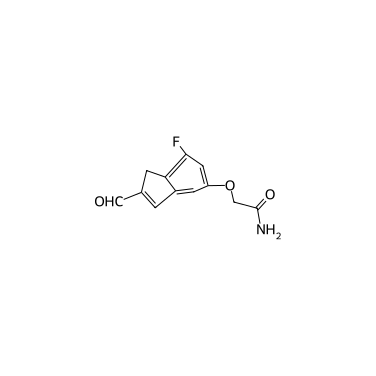 NC(=O)COc1cc(F)c2c(c1)C=C(C=O)C2